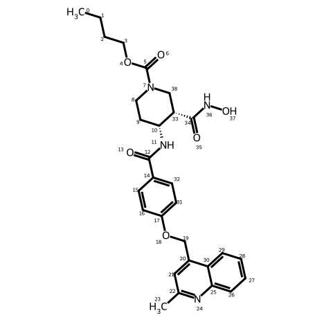 CCCCOC(=O)N1CC[C@@H](NC(=O)c2ccc(OCc3cc(C)nc4ccccc34)cc2)[C@@H](C(=O)NO)C1